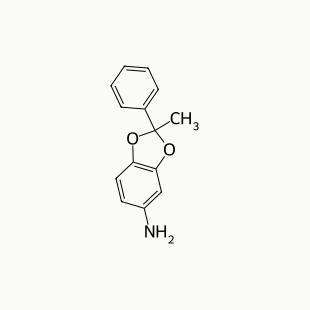 CC1(c2ccccc2)Oc2ccc(N)cc2O1